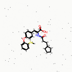 CSc1ccccc1Oc1ccc(C=C(NC(=O)CCC2CCCC2)C(=O)O)cc1